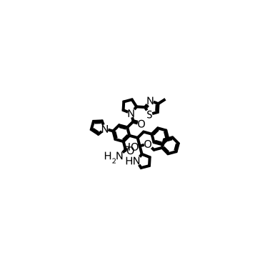 Cc1csc(C2CCCN2C(=O)c2cc(-n3cccc3)cc(C(N)=O)c2C(Cc2ccccc2)C(O)(OCc2ccccc2)C2CCCN2)n1